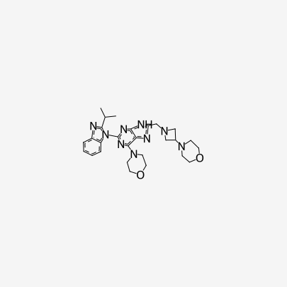 CC(C)c1nc2ccccc2n1-c1nc(N2CCOCC2)c2nc(CN3CC(N4CCOCC4)C3)[nH]c2n1